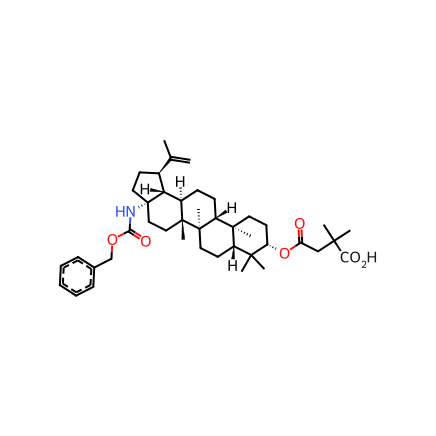 C=C(C)[C@@H]1CC[C@]2(NC(=O)OCc3ccccc3)CC[C@]3(C)[C@H](CC[C@@H]4[C@@]5(C)CC[C@H](OC(=O)CC(C)(C)C(=O)O)C(C)(C)[C@@H]5CC[C@]43C)[C@@H]12